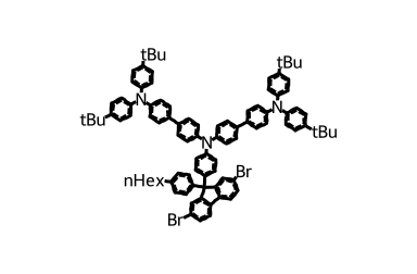 CCCCCCc1ccc(C2(c3ccc(N(c4ccc(-c5ccc(N(c6ccc(C(C)(C)C)cc6)c6ccc(C(C)(C)C)cc6)cc5)cc4)c4ccc(-c5ccc(N(c6ccc(C(C)(C)C)cc6)c6ccc(C(C)(C)C)cc6)cc5)cc4)cc3)c3cc(Br)ccc3-c3ccc(Br)cc32)cc1